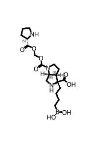 O=C(OCOC(=O)N1CC[C@H]2[C@@H]1CN[C@@]2(CCCCB(O)O)C(=O)O)[C@@H]1CCCN1